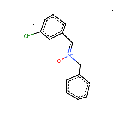 [O-][N+](=Cc1cccc(Cl)c1)Cc1ccccc1